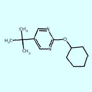 CC(C)(C)c1cnc(OC2CCCCC2)nc1